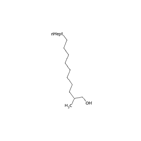 CCCCCCCCCCCCCCCC(C)CO